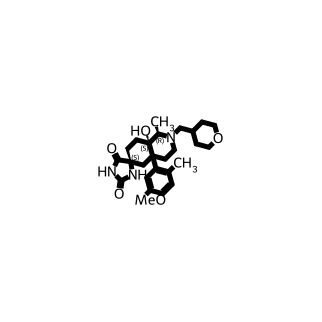 COc1ccc(C)c(C23CCN(CC4CCOCC4)[C@H](C)[C@]2(O)CC[C@@]2(C3)NC(=O)NC2=O)c1